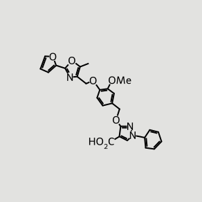 COc1cc(COc2nn(-c3ccccc3)cc2C(=O)O)ccc1OCc1nc(-c2ccco2)oc1C